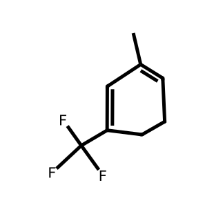 CC1=CCCC(C(F)(F)F)=C1